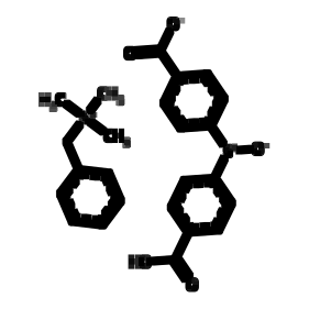 C[N+](C)(C)Cc1ccccc1.O=C([O-])c1ccc([S+]([O-])c2ccc(C(=O)O)cc2)cc1